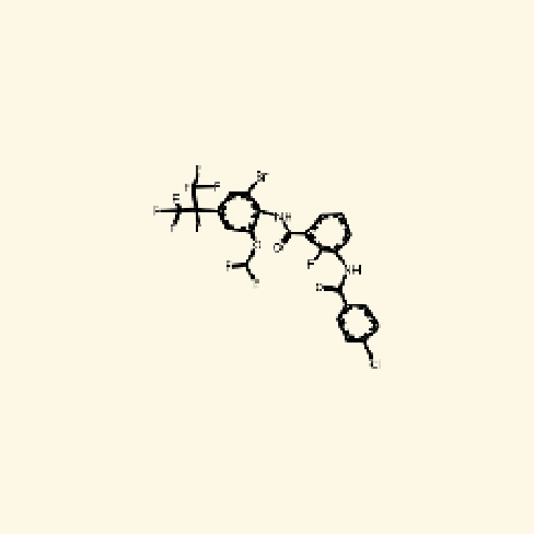 O=C(Nc1cccc(C(=O)Nc2c(Br)cc(C(F)(C(F)(F)F)C(F)(F)F)cc2OC(F)F)c1F)c1ccc(Cl)cc1